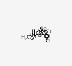 C=CC(=O)NCC1CCN(C(=O)C(C)(C)Oc2ccc(Cl)cc2)CC1